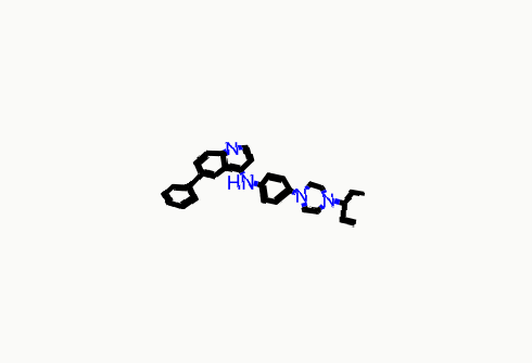 CCC(CC)N1CCN(c2ccc(Nc3ccnc4ccc(-c5ccccc5)cc34)cc2)CC1